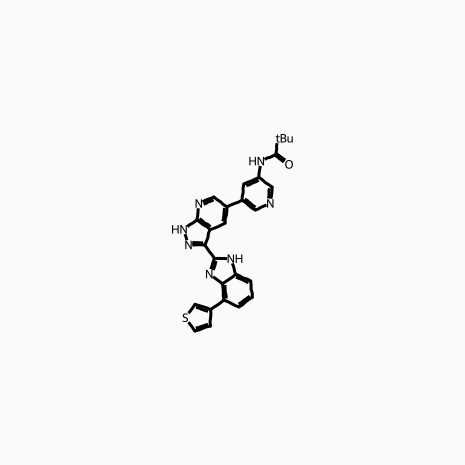 CC(C)(C)C(=O)Nc1cncc(-c2cnc3[nH]nc(-c4nc5c(-c6ccsc6)cccc5[nH]4)c3c2)c1